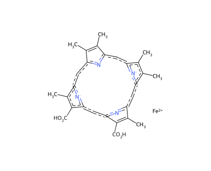 CC1=C(C)c2cc3[n-]c(cc4nc(cc5[n-]c(cc1n2)c(C)c5C)C(C)=C4C(=O)O)c(C(=O)O)c3C.[Fe+2]